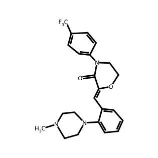 CN1CCN(c2ccccc2C=C2OCCN(c3ccc(C(F)(F)F)cc3)C2=O)CC1